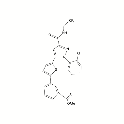 COC(=O)c1cccc(-c2ccc(-c3cc(C(=O)NCC(F)(F)F)nn3-c3ccccc3Cl)s2)c1